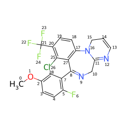 COc1ccc(F)c(C2=NCC3=NC=CCN3c3ccc(C(F)(F)F)c(Cl)c32)c1